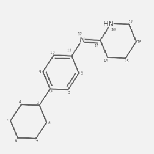 c1cc(C2CCCCC2)ccc1/N=C1\CCCCN1